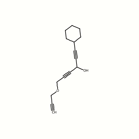 C#CCOCC#CC(O)C#CC1CCCCC1